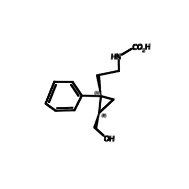 O=C(O)NCC[C@@]1(c2ccccc2)C[C@H]1CO